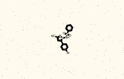 N#Cc1cc(-c2ccc(Br)cc2)n(NS(=O)(=O)c2ccccc2)n1